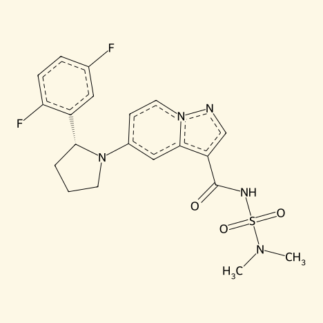 CN(C)S(=O)(=O)NC(=O)c1cnn2ccc(N3CCC[C@@H]3c3cc(F)ccc3F)cc12